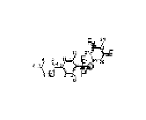 Cc1cc(C2CCC(C)CO2)cc(C)c1C(F)(F)Oc1cc(F)c(C)c(F)c1